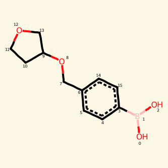 OB(O)c1ccc(COC2CCOC2)cc1